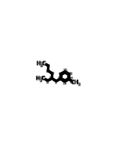 CCCCC(CC)Cc1[c]ccc(C)c1